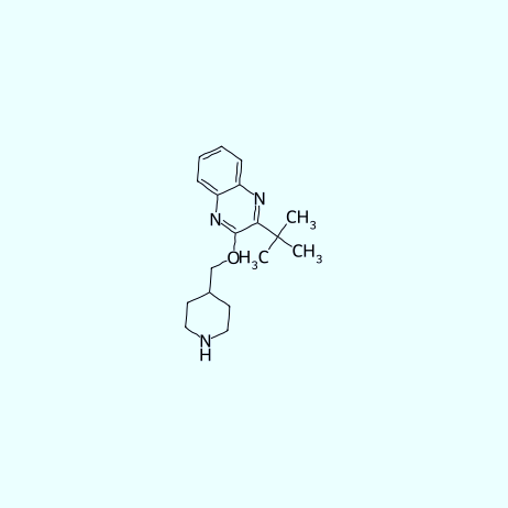 CC(C)(C)c1nc2ccccc2nc1OCC1CCNCC1